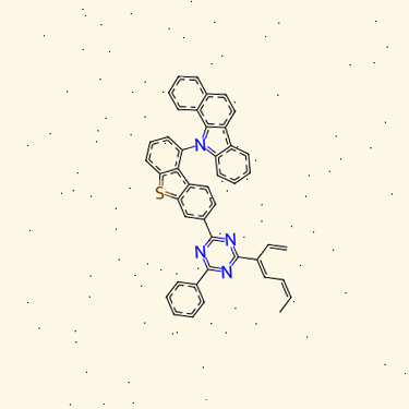 C=C/C(=C\C=C/C)c1nc(-c2ccccc2)nc(-c2ccc3c(c2)sc2cccc(-n4c5ccccc5c5ccc6ccccc6c54)c23)n1